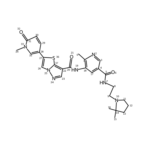 Cc1ncc(C(=O)NCCN2CCCC2(C)C)cc1NC(=O)c1cnn2cc(-c3ccc(=O)n(C)c3)sc12